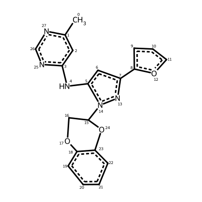 Cc1cc(Nc2cc(-c3ccco3)nn2C2COc3ccccc3O2)ncn1